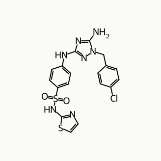 Nc1nc(Nc2ccc(S(=O)(=O)Nc3nccs3)cc2)nn1Cc1ccc(Cl)cc1